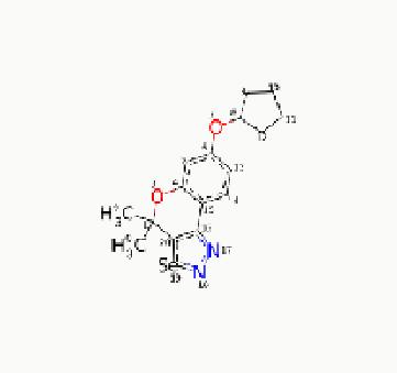 CC1(C)Oc2cc(OC3CCCC3)ccc2-c2nn[se]c21